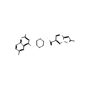 Cc1cc2ncc(C(=O)N[C@H]3CC[C@@H](Nc4cc(C(F)(F)F)nc5ccc(Cl)cc45)CC3)cn2n1